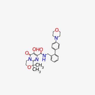 CC1(C)OCCn2c1nc(C(=O)NCc1ccccc1-c1ccc(N3CCOCC3)cc1)c(O)c2=O